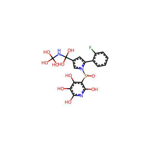 [O-][S+](c1c(O)nc(O)c(O)c1O)n1cc(C(O)(O)NC(O)(O)O)cc1-c1ccccc1F